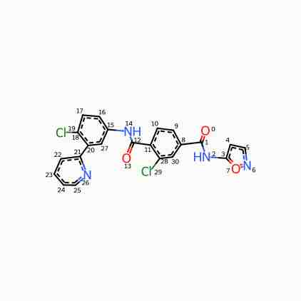 O=C(Nc1ccno1)c1ccc(C(=O)Nc2ccc(Cl)c(-c3ccccn3)c2)c(Cl)c1